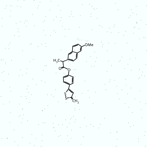 C=C1C=C(c2ccc(OC(=O)C(C)c3ccc4cc(OC)ccc4c3)cc2)SS1